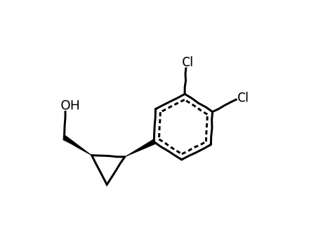 OC[C@@H]1C[C@@H]1c1ccc(Cl)c(Cl)c1